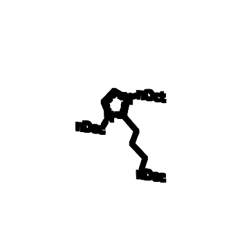 CCCCCCCCCCCCCc1n(CCCCCCCC)cc[n+]1CCCCCCCCCC